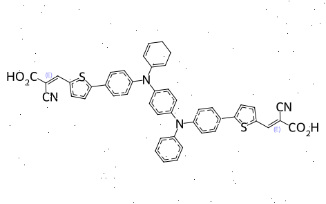 N#C/C(=C\c1ccc(-c2ccc(N(C3=CCCC=C3)c3ccc(N(c4ccccc4)c4ccc(-c5ccc(/C=C(\C#N)C(=O)O)s5)cc4)cc3)cc2)s1)C(=O)O